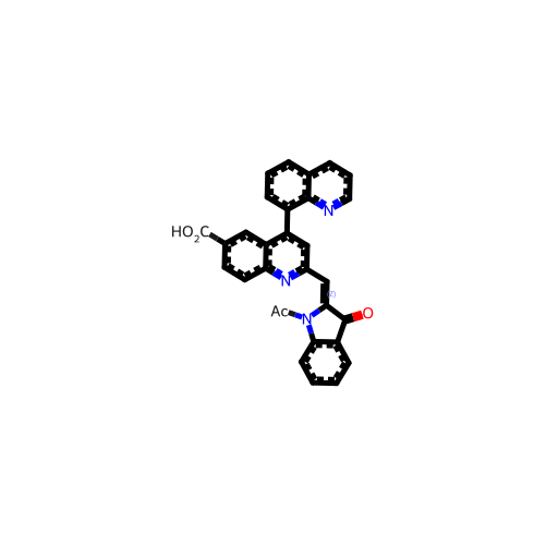 CC(=O)N1/C(=C\c2cc(-c3cccc4cccnc34)c3cc(C(=O)O)ccc3n2)C(=O)c2ccccc21